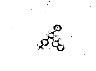 O=C(NC(C(=O)c1ccc(C(F)(F)F)cc1)N1CCc2cccnc2C1=O)c1ccccc1